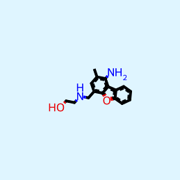 Cc1cc(CNCCO)c2oc3ccccc3c2c1N